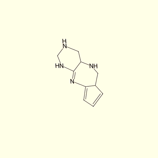 C1=CC2CNC3CNCNC3=NC2=C1